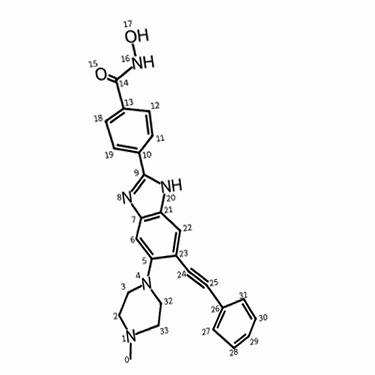 CN1CCN(c2cc3nc(-c4ccc(C(=O)NO)cc4)[nH]c3cc2C#Cc2ccccc2)CC1